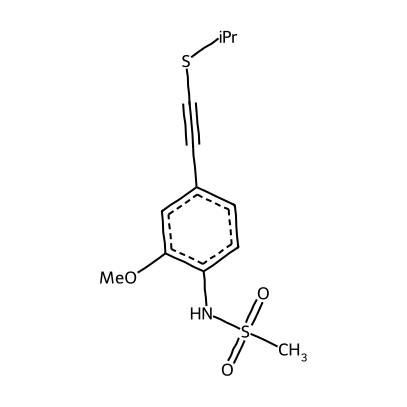 COc1cc(C#CSC(C)C)ccc1NS(C)(=O)=O